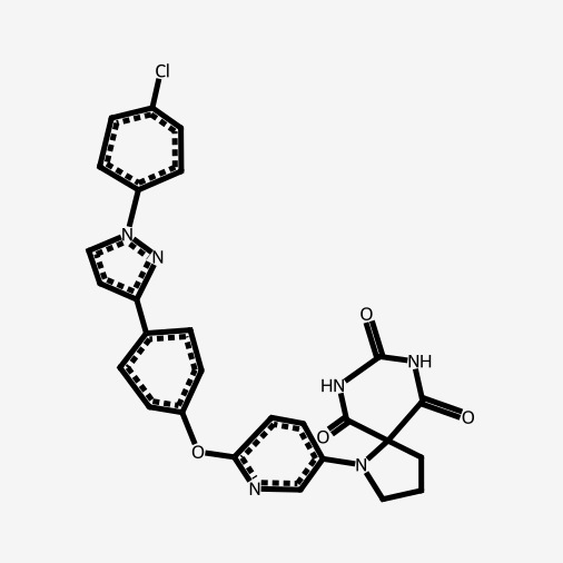 O=C1NC(=O)C2(CCCN2c2ccc(Oc3ccc(-c4ccn(-c5ccc(Cl)cc5)n4)cc3)nc2)C(=O)N1